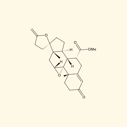 C=C1CC[C@@]2(CC[C@H]3[C@@H]4[C@H](C(=O)OC)CC5=CC(=O)CC[C@]5(C)[C@]45O[C@@H]5C[C@@]32C)O1